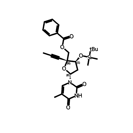 CC#C[C@]1(COC(=O)c2ccccc2)O[C@@H](n2cc(C)c(=O)[nH]c2=O)C[C@@H]1O[Si](C)(C)C(C)(C)C